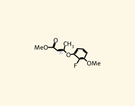 COC(=O)/C=C(\C)Oc1cccc(OC)c1F